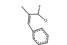 CC(=Cc1ccccc1)C(F)Cl